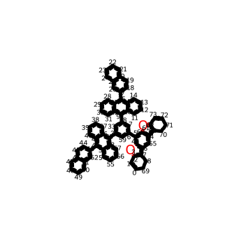 C1=Cc2oc3c(-c4cc(-c5c6ccccc6c(-c6ccc7ccccc7c6)c6ccccc56)cc(-c5c6ccccc6c(-c6ccc7ccccc7c6)c6ccccc56)c4)c4oc5c(c4cc3c2CC1)CCC=C5